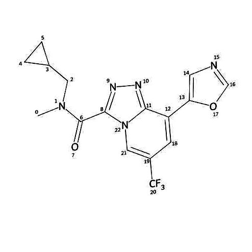 CN(CC1CC1)C(=O)c1nnc2c(-c3cnco3)cc(C(F)(F)F)cn12